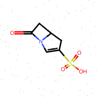 O=C1CC2CC(S(=O)(=O)O)=CN12